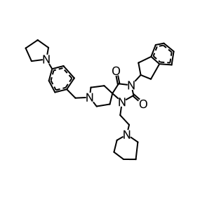 O=C1N(C2Cc3ccccc3C2)C(=O)C2(CCN(Cc3ccc(N4CCCC4)cc3)CC2)N1CCN1CCCCC1